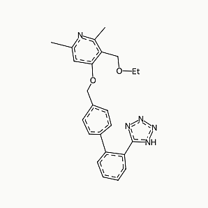 CCOCc1c(OCc2ccc(-c3ccccc3-c3nnn[nH]3)cc2)cc(C)nc1C